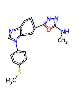 CNc1nnc(-c2ccc3ncn(-c4ccc(SC)cc4)c3c2)o1